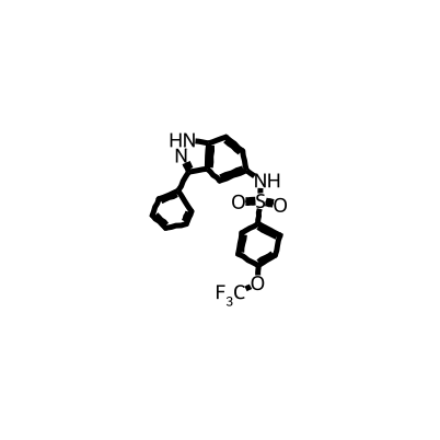 O=S(=O)(Nc1ccc2[nH]nc(-c3ccccc3)c2c1)c1ccc(OC(F)(F)F)cc1